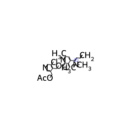 C=C/C=C(/c1cc(C)nc2c(OCc3c(Cl)cncc3COC(C)=O)cccc12)N(C)C